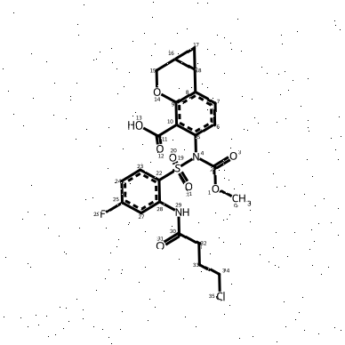 COC(=O)N(c1ccc2c(c1C(=O)O)OCC1CC21)S(=O)(=O)c1ccc(F)cc1NC(=O)CCCCl